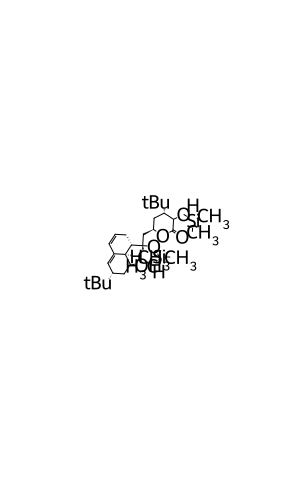 C[SiH](C)OC1C(=O)O[C@@H](C[C@](C)(O[SiH](C)C)[C@H]2CC=CC3=C[C@@H](C(C)(C)C)C[C@H](O)[C@@H]32)C[C@@H]1C(C)(C)C